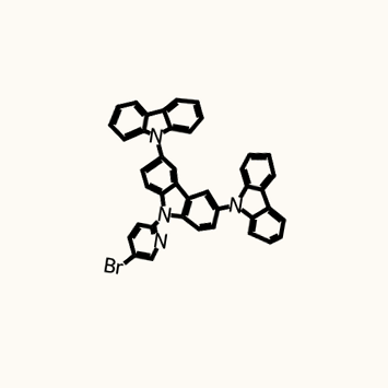 Brc1ccc(-n2c3ccc(-n4c5ccccc5c5ccccc54)cc3c3cc(-n4c5ccccc5c5ccccc54)ccc32)nc1